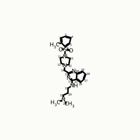 Cc1ccccc1S(=O)(=O)N1CCN(Cc2nc(NCCCN(C)C)c3ccccc3n2)CC1